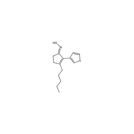 CCCCCC1=C(c2ccsc2)C(=NO)CC1